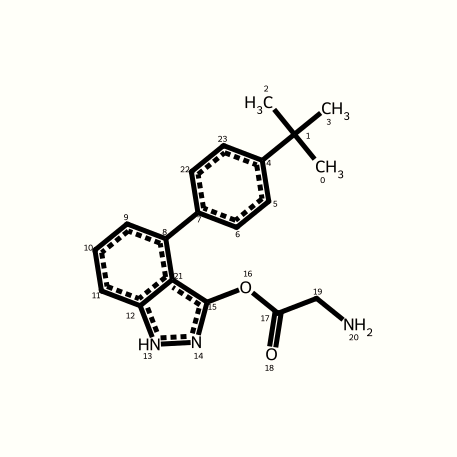 CC(C)(C)c1ccc(-c2cccc3[nH]nc(OC(=O)CN)c23)cc1